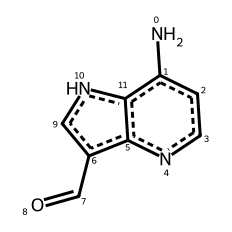 Nc1ccnc2c(C=O)c[nH]c12